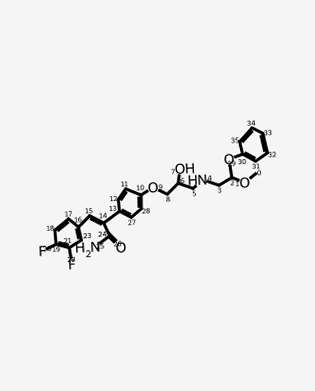 COC(CNCC(O)COc1ccc(C(=Cc2ccc(F)c(F)c2)C(N)=O)cc1)Oc1ccccc1